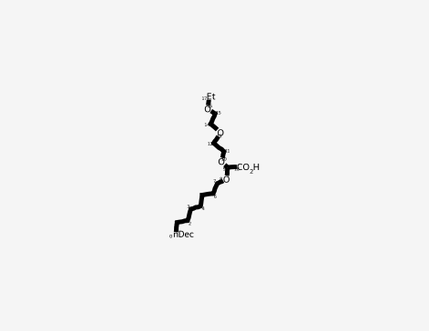 CCCCCCCCCCCCCCCCCOC(OCCOCCOCC)C(=O)O